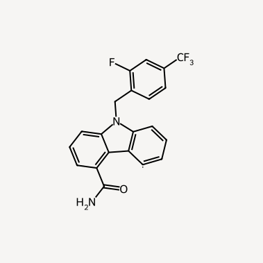 NC(=O)c1cccc2c1c1[c]cccc1n2Cc1ccc(C(F)(F)F)cc1F